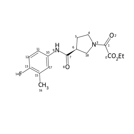 CCOC(=O)C(=O)N1CC[C@H](C(=O)Nc2ccc(F)c(C)c2)C1